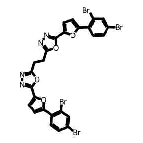 Brc1ccc(-c2ccc(-c3nnc(CCc4nnc(-c5ccc(-c6ccc(Br)cc6Br)o5)o4)o3)o2)c(Br)c1